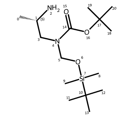 C[C@H](N)CN(CO[Si](C)(C)C(C)(C)C)C(=O)OC(C)(C)C